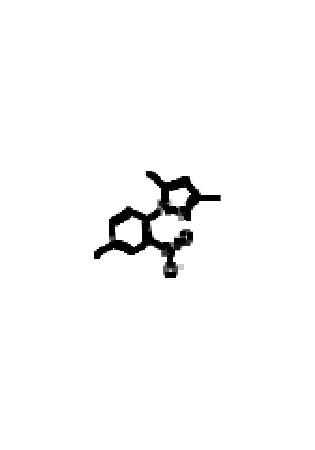 Cc1ccc(-n2nc(C)cc2C)c([N+](=O)[O-])c1